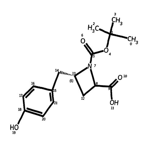 CC(C)(C)OC(=O)N1C(C(=O)O)C[C@@H]1Cc1ccc(O)cc1